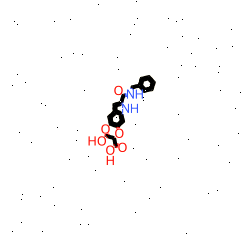 O=C(NCc1ccccc1)c1cc2ccc(OC(C(=O)O)C(=O)O)cc2[nH]1